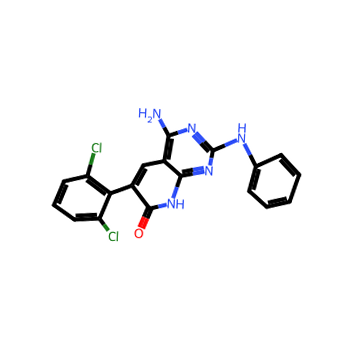 Nc1nc(Nc2ccccc2)nc2[nH]c(=O)c(-c3c(Cl)cccc3Cl)cc12